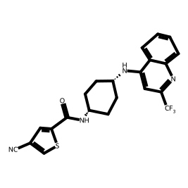 N#Cc1csc(C(=O)N[C@H]2CC[C@@H](Nc3cc(C(F)(F)F)nc4ccccc34)CC2)c1